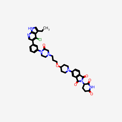 CCc1c[nH]c2ncc(-c3cccc(N4CCN(CCCOC5CCN(c6ccc7c(c6)C(=O)N(C6CCC(=O)NC6=O)C7=O)CC5)CC4=O)c3)c(Cl)c12